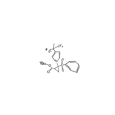 CC(C)(C)OC(=O)C1CC1(c1ccc(C(C)(C(F)(F)F)C(F)(F)F)cc1)S(=O)(=O)c1ccccc1